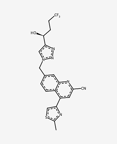 Cc1nc(-c2cc(C#N)nc3cc(Cn4cc([C@@H](O)CCC(F)(F)F)nn4)ccc23)cs1